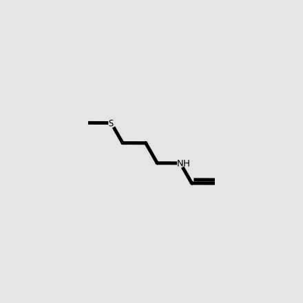 C=CNCCCSC